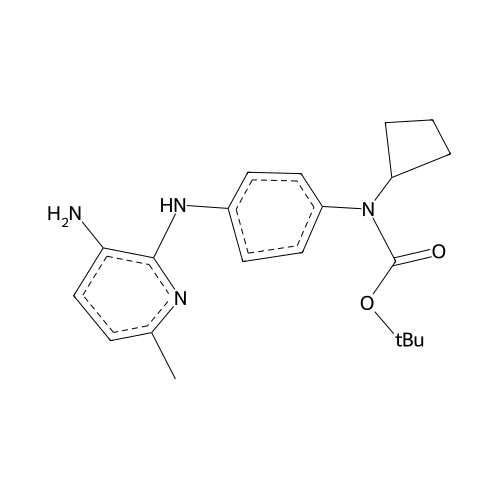 Cc1ccc(N)c(Nc2ccc(N(C(=O)OC(C)(C)C)C3CCC3)cc2)n1